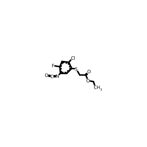 CCOC(=O)CSc1cc(N=C=O)c(F)cc1Cl